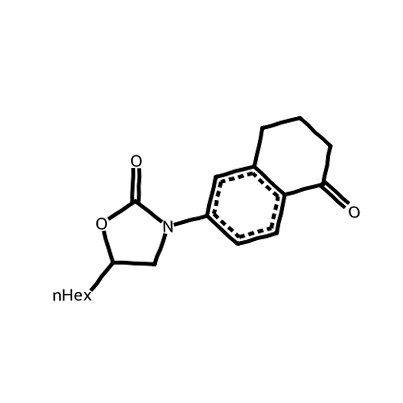 CCCCCCC1CN(c2ccc3c(c2)CCCC3=O)C(=O)O1